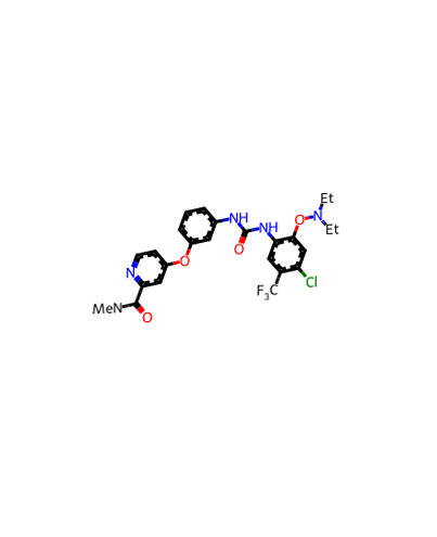 CCN(CC)Oc1cc(Cl)c(C(F)(F)F)cc1NC(=O)Nc1cccc(Oc2ccnc(C(=O)NC)c2)c1